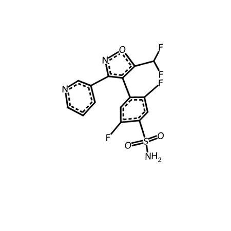 NS(=O)(=O)c1cc(F)c(-c2c(-c3cccnc3)noc2C(F)F)cc1F